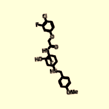 COc1ccc(CNC23CCC(NC(=O)COc4ccc(Cl)c(F)c4)(CC2)C(O)C3)cc1